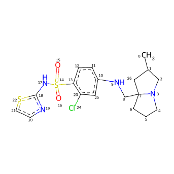 CC1CN2CCCC2(CNc2ccc(S(=O)(=O)Nc3nccs3)c(Cl)c2)C1